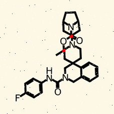 CCOC(=O)N1C2CCC1CC(N1CCC3(CC1)CN(C(=O)Nc1ccc(F)cc1)Cc1ccccc13)C2